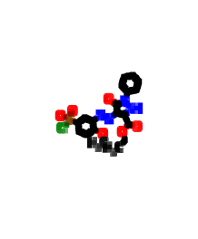 CCOC(=O)c1[nH]n(-c2ccccc2)c(=O)c1N=Nc1cc(S(=O)(=O)Cl)ccc1OC